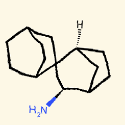 N[C@@H]1C2CC[C@@H](C2)C12CC1CCC2CC1